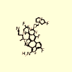 CC1Oc2c(Cl)c(-c3ccc(F)c4sc(N)c(C#N)c34)c(F)c3nc(OC[C@@]45CCCN4C[C@H](F)C5)nc(c23)N(CC(F)F)C1CC#N